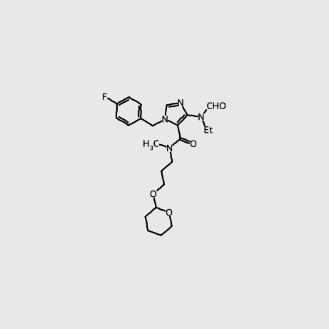 CCN(C=O)c1ncn(Cc2ccc(F)cc2)c1C(=O)N(C)CCCOC1CCCCO1